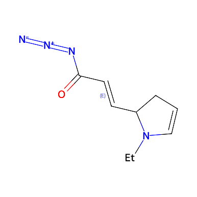 CCN1C=CCC1/C=C/C(=O)N=[N+]=[N-]